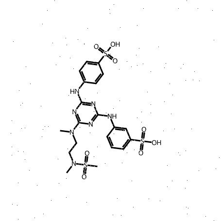 CN(CCN(C)S(C)(=O)=O)c1nc(Nc2ccc(S(=O)(=O)O)cc2)nc(Nc2cccc(S(=O)(=O)O)c2)n1